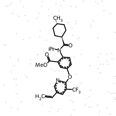 C=Cc1cnc(Oc2ccc(N(C(=O)[C@H]3CC[C@H](C)CC3)C(C)C)c(C(=O)OC)c2)c(C(F)(F)F)c1